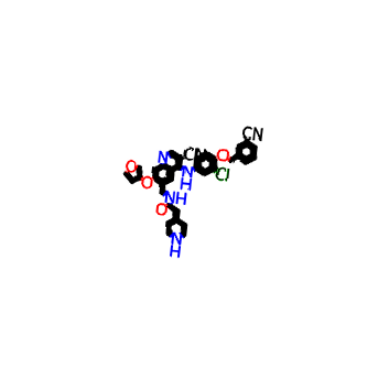 N#Cc1cccc(COc2ccc(Nc3c(C#N)cnc4cc(OC5CCOC5)c(CNC(=O)C=C5CCNCC5)cc34)cc2Cl)c1